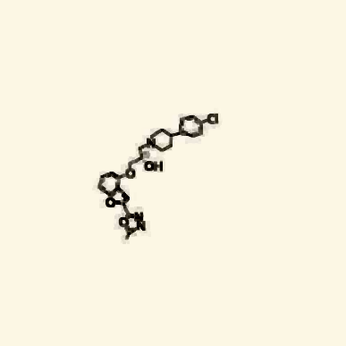 Cc1nnc(-c2cc3c(OC[C@@H](O)CN4CCC(c5ccc(Cl)cc5)CC4)cccc3o2)o1